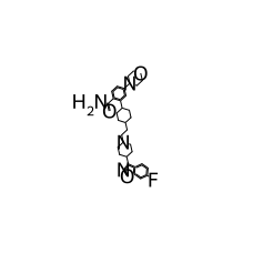 NC(=O)c1ccc(N2CCOCC2)cc1C1CCC(CCN2CCC(c3noc4cc(F)ccc34)CC2)CC1